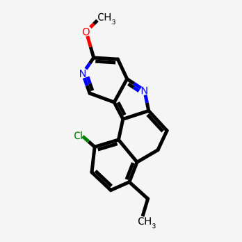 CCc1ccc(Cl)c2c1CC=C1N=c3cc(OC)ncc3=C12